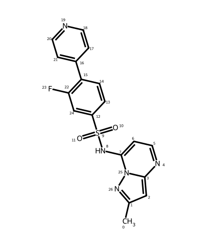 Cc1cc2nccc(NS(=O)(=O)c3ccc(-c4ccncc4)c(F)c3)n2n1